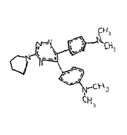 CN(C)c1ccc(-c2nnc(N3CCCC3)nc2-c2ccc(N(C)C)cc2)cc1